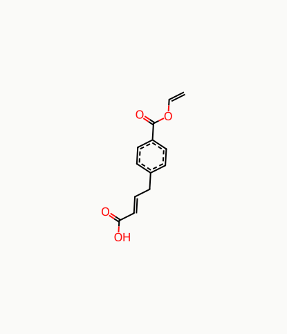 C=COC(=O)c1ccc(CC=CC(=O)O)cc1